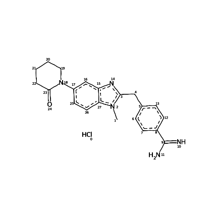 Cl.Cn1c(Cc2ccc(C(=N)N)cc2)nc2cc(N3CCCCC3=O)ccc21